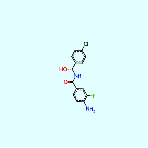 Nc1ccc(C(=O)N[C@H](O)c2ccc(Cl)cc2)cc1F